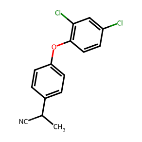 CC(C#N)c1ccc(Oc2ccc(Cl)cc2Cl)cc1